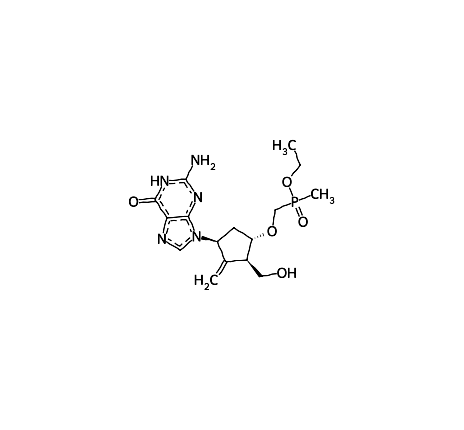 C=C1[C@H](CO)[C@@H](OCP(C)(=O)OCC)C[C@@H]1n1cnc2c(=O)[nH]c(N)nc21